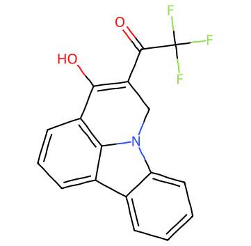 O=C(C1=C(O)c2cccc3c4ccccc4n(c23)C1)C(F)(F)F